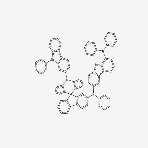 c1ccc(N(c2ccc3c(c2)C2(c4ccccc4-3)c3ccccc3N(c3ccc4c5ccccc5n(-c5ccccc5)c4c3)c3ccccc32)c2ccc3sc4c(N(c5ccccc5)c5ccccc5)cccc4c3c2)cc1